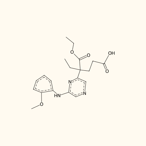 CCOC(=O)C(CC)(CCC(=O)O)c1cncc(Nc2ccccc2OC)n1